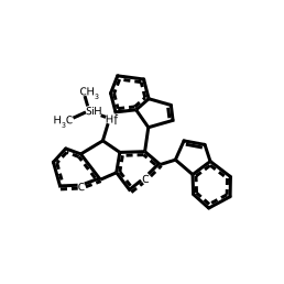 C[SiH](C)[Hf][CH]1c2ccccc2-c2ccc(C3C=Cc4ccccc43)c(C3C=Cc4ccccc43)c21